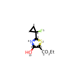 CCOC(=O)c1sc(C2(F)CC2)nc1O